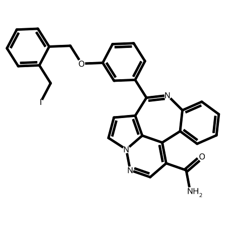 NC(=O)c1cnn2ccc3c2c1-c1ccccc1N=C3c1cccc(OCc2ccccc2CI)c1